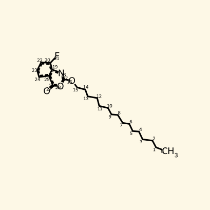 CCCCCCCCCCCCCCCCOc1nc2c(F)cccc2c(=O)o1